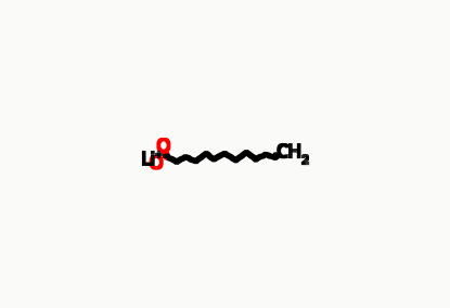 C=CCCCCCCCCCCC(=O)[O-].[Li+]